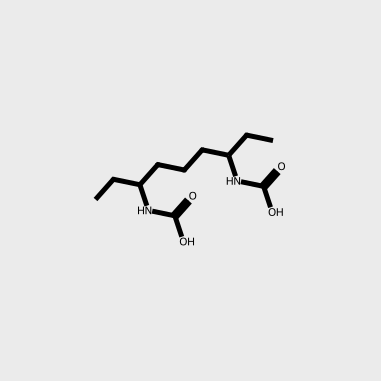 CCC(CCCC(CC)NC(=O)O)NC(=O)O